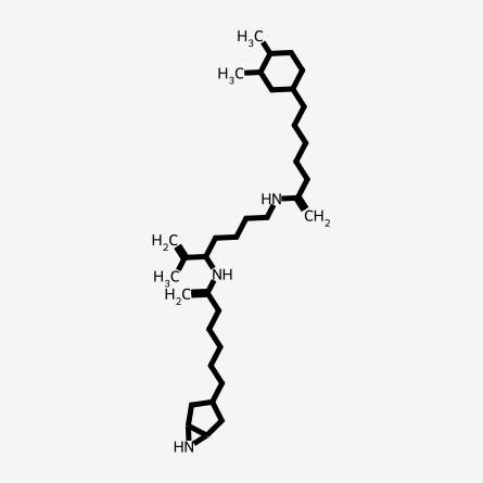 C=C(CCCCCC1CCC(C)C(C)C1)NCCCCC(NC(=C)CCCCCC1CC2NC2C1)C(=C)C